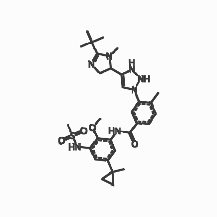 COc1c(NC(=O)c2ccc(C)c(N3C=C(C4CN=C(C(C)(C)C)N4C)NN3)c2)cc(C2(C)CC2)cc1NS(C)(=O)=O